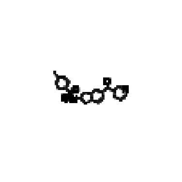 Cc1ccc(S(=O)(=O)NC2Cc3ccc(C(=O)c4cccnc4)cc3C2)cc1